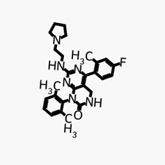 Cc1cc(F)ccc1-c1nc(NCCN2CCCC2)nc2c1CNC(=O)N2c1c(C)cccc1C